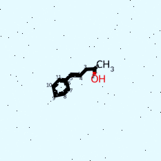 CC(O)CC=Cc1ccccc1